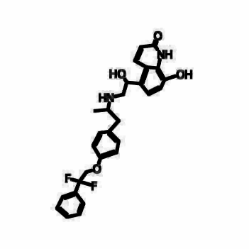 CC(Cc1ccc(OCC(F)(F)c2ccccc2)cc1)NCC(O)c1ccc(O)c2[nH]c(=O)ccc12